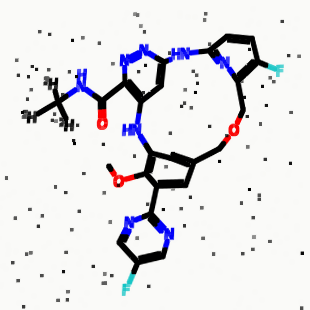 [2H]C([2H])([2H])NC(=O)c1nnc2cc1Nc1cc(cc(-c3ncc(F)cn3)c1OC)COCc1nc(ccc1F)N2